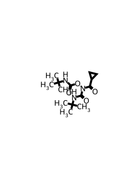 CC(C)(C)NC(=O)ON(C(=O)NC(C)(C)C)C(=O)C1CC1